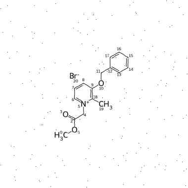 COC(=O)C[n+]1cccc(OCc2ccccc2)c1C.[Br-]